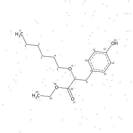 CCCCCCOC(Cc1ccc(O)cc1)C(=O)OCC